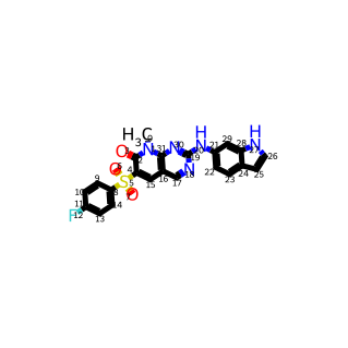 Cn1c(=O)c(S(=O)(=O)c2ccc(F)cc2)cc2cnc(Nc3ccc4cc[nH]c4c3)nc21